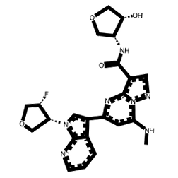 CNc1cc(-c2cn([C@@H]3COC[C@@H]3F)c3ncccc23)nc2c(C(=O)N[C@@H]3COC[C@@H]3O)cnn12